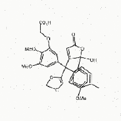 COc1ccc(C2(O)OC(=O)C=C2C(C2=COCO2)(c2ccc(C)cc2)c2cc(OC)c(OC)c(OCC(=O)O)c2)cc1